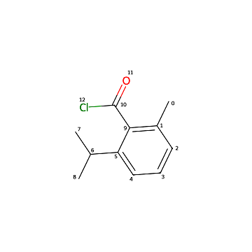 Cc1cccc(C(C)C)c1C(=O)Cl